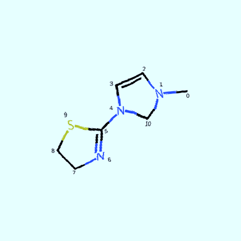 CN1C=CN(C2=NCCS2)C1